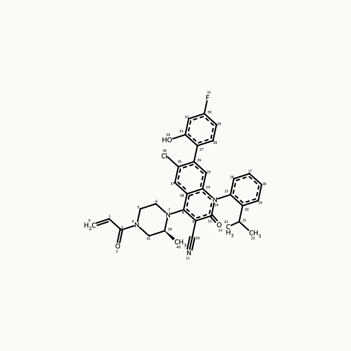 C=CC(=O)N1CCN(c2c(C#N)c(=O)n(-c3ccccc3C(C)C)c3cc(-c4ccc(F)cc4O)c(Cl)cc23)[C@@H](C)C1